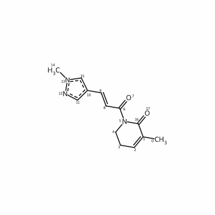 CC1=CCCN(C(=O)C=Cc2cnn(C)c2)C1=O